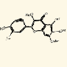 COc1cc2oc(-c3ccc(O)c(O)c3)c(OC)c(=O)c2c(O)c1O